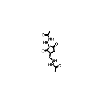 CC(=O)NBSC1CC(=O)N(BNC(C)=O)C1=O